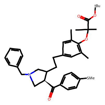 CSc1ccc(C(=O)[C@H]2CN(Cc3ccccc3)CC2CCc2cc(C)c(OC(C)(C)C(=O)OC(C)(C)C)c(C)c2)cc1